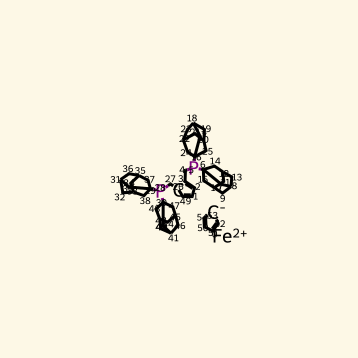 [Fe+2].c1cc(CP(C23CC4CC(CC(C4)C2)C3)C23CC4CC(CC(C4)C2)C3)[c-](CP(C23CC4CC(CC(C4)C2)C3)C23CC4CC(CC(C4)C2)C3)c1.c1cc[cH-]c1